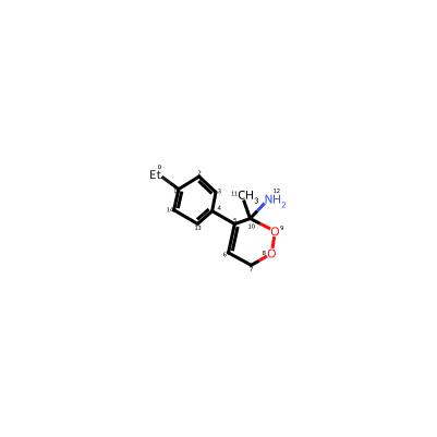 CCc1ccc(C2=CCOOC2(C)N)cc1